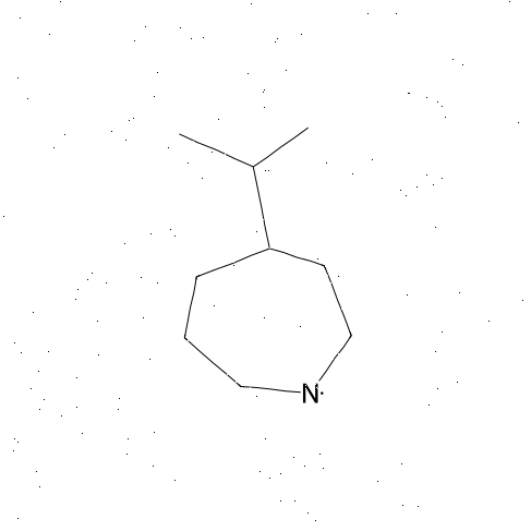 CC(C)C1CCC[N]CC1